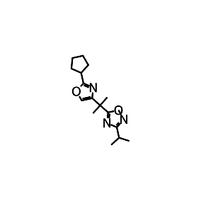 CC(C)c1noc(C(C)(C)c2coc(C3CCCC3)n2)n1